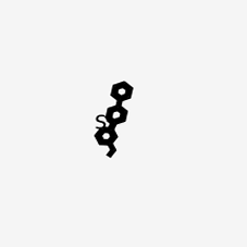 CCc1ccc2sc3cc(-c4ccccc4)ccc3c2c1